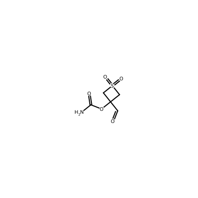 NC(=O)OC1(C=O)CS(=O)(=O)C1